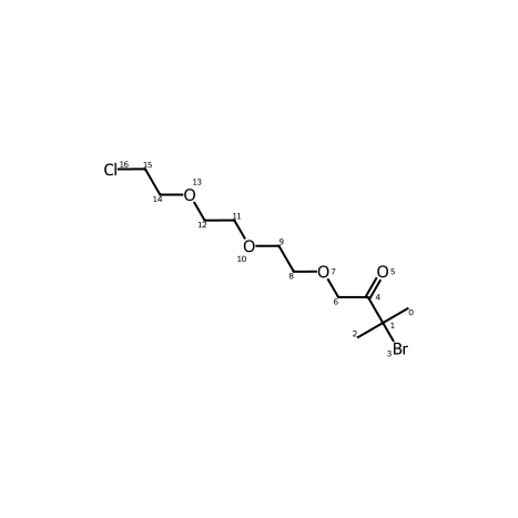 CC(C)(Br)C(=O)COCCOCCOCCCl